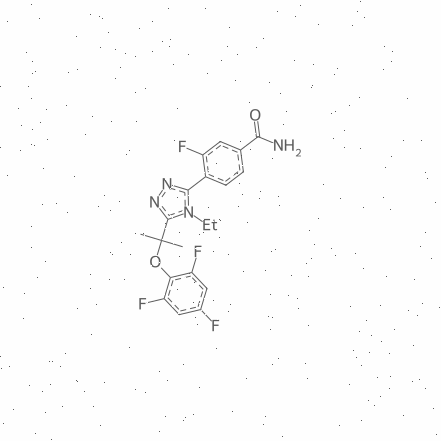 CCn1c(-c2ccc(C(N)=O)cc2F)nnc1C(C)(C)Oc1c(F)cc(F)cc1F